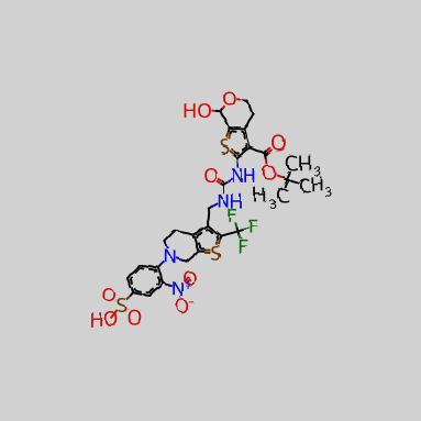 CC(C)(C)OC(=O)c1c(NC(=O)NCc2c(C(F)(F)F)sc3c2CCN(c2ccc(S(=O)(=O)O)cc2[N+](=O)[O-])C3)sc2c1CCOC2O